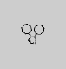 C1=CC(C2CCCCCCC2)C(C2CCCCCCC2)C[N]1